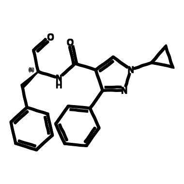 O=C[C@H](Cc1ccccc1)NC(=O)c1cn(C2CC2)nc1-c1ccccc1